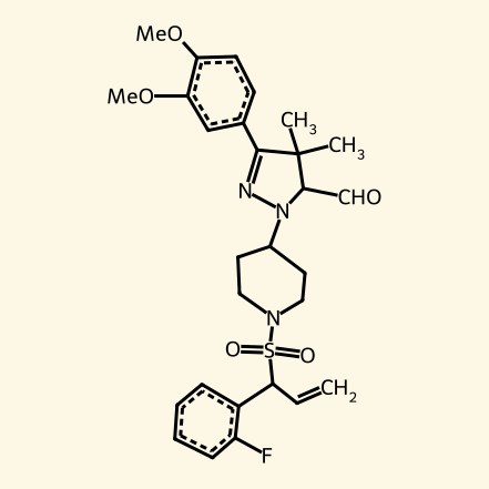 C=CC(c1ccccc1F)S(=O)(=O)N1CCC(N2N=C(c3ccc(OC)c(OC)c3)C(C)(C)C2C=O)CC1